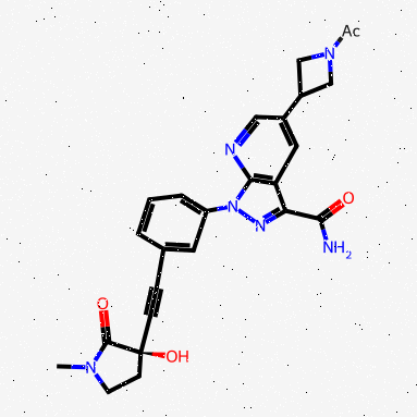 CC(=O)N1CC(c2cnc3c(c2)c(C(N)=O)nn3-c2cccc(C#C[C@]3(O)CCN(C)C3=O)c2)C1